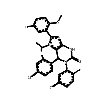 COc1ccc(F)cc1-c1nc2c(n1C(C)C)C(c1ccc(Cl)cc1C)N(c1cc(Cl)ccc1C)C(=O)N2